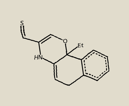 CCC12OC=C(C=S)NC1=CCc1ccccc12